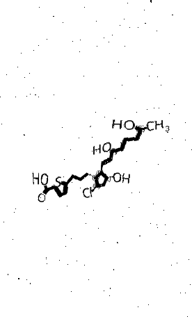 C[C@H](O)CCC[C@H](O)C=C[C@@H]1[C@@H](CCCc2ccc(C(=O)O)s2)[C@H](Cl)C[C@H]1O